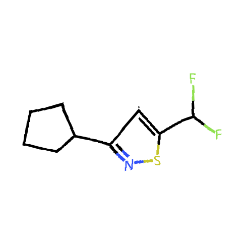 FC(F)c1[c]c(C2CCCC2)ns1